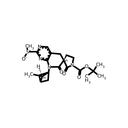 C[C@@H]1C2CC1(N1C(=O)[C@]3(CCN(C(=O)OC(C)(C)C)C3=O)Cc3cnc([S+](C)[O-])nc31)C2